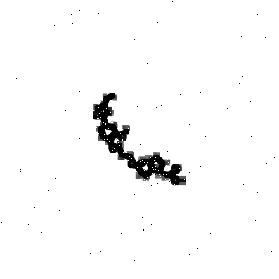 CCc1coc(-c2ccc(OCCCOc3ccc4c(c3)CC[C@H]4CC(=O)O)c(OC)c2)n1